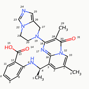 Cc1cc([C@@H](C)Nc2ccccc2C(=O)O)c2nc(N3CCn4cncc4C3)c(C)c(=O)n2c1